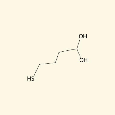 OC(O)CCCS